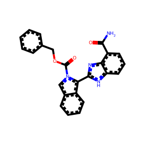 NC(=O)c1cccc2[nH]c(-c3c4ccccc4cn3C(=O)OCc3ccccc3)nc12